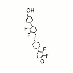 COc1ccc(C2CCC(CCc3ccc(-c4ccc(CO)cc4)c(F)c3F)CC2)c(F)c1F